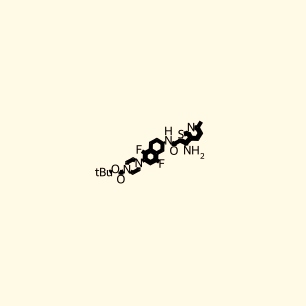 Cc1ccc2c(N)c(C(=O)N[C@@H]3CCc4c(F)c(N5CCN(C(=O)OC(C)(C)C)CC5)cc(F)c4C3)sc2n1